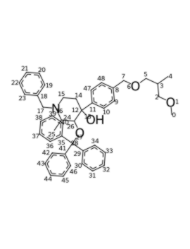 COCC(C)COCc1ccc(C2(O)CCN(Cc3ccccc3)C(C)C2OC(c2ccccc2)(c2ccccc2)c2ccccc2)cc1